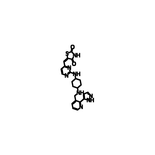 O=C1NC(=O)/C(=C\c2ccnc(NC3CCC(NCc4cccnc4-c4ccn[nH]4)CC3)n2)S1